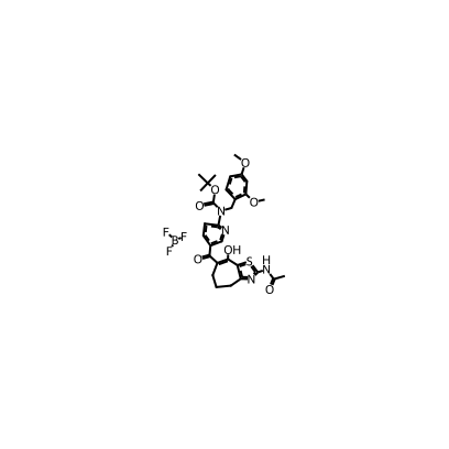 COc1ccc(CN(C(=O)OC(C)(C)C)c2ccc(C(=O)C3=C(O)c4sc(NC(C)=O)nc4CCC3)cn2)c(OC)c1.FB(F)F